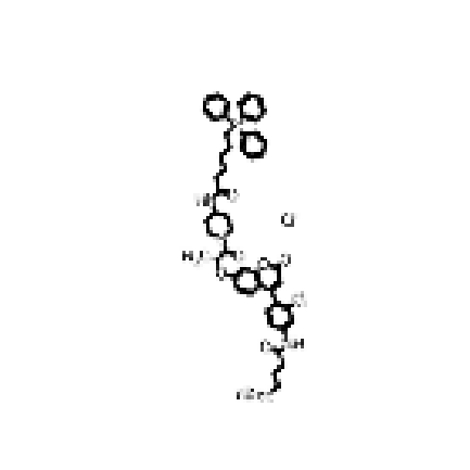 CCCCCCCCCCCCCC(=O)Nc1ccc(-c2cc(=O)oc3cc(O[C@H](C)C(=O)N4CCC(NC(=O)CCCCC[P+](c5ccccc5)(c5ccccc5)c5ccccc5)CC4)ccc23)c(Cl)c1.[Cl-]